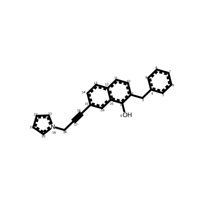 Oc1c(Cc2ccccc2)ccc2ccc(C#CCn3cccc3)cc12